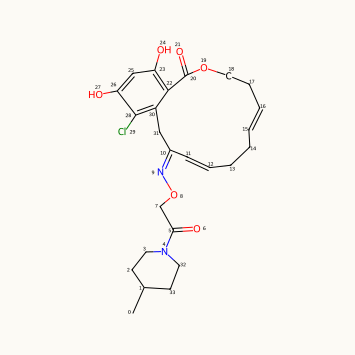 CC1CCN(C(=O)CO/N=C2\C=C\CC/C=C/CCOC(=O)c3c(O)cc(O)c(Cl)c3C2)CC1